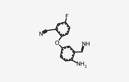 N#Cc1cc(F)ccc1Oc1ccc(N)c(C=N)c1